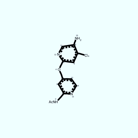 CC(=O)Nc1cc(Oc2cc(Cl)c(N)cn2)ccn1